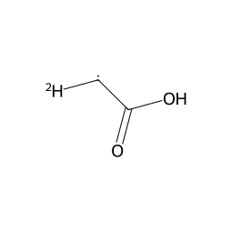 [2H][CH]C(=O)O